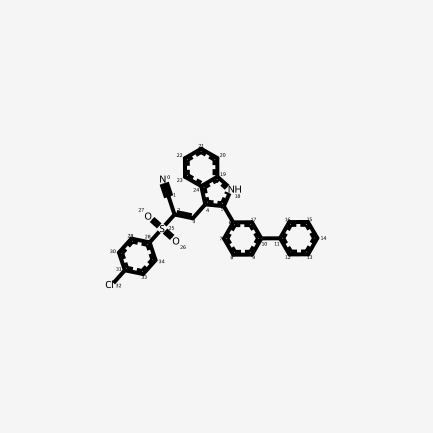 N#CC(=Cc1c(-c2cccc(-c3ccccc3)c2)[nH]c2ccccc12)S(=O)(=O)c1ccc(Cl)cc1